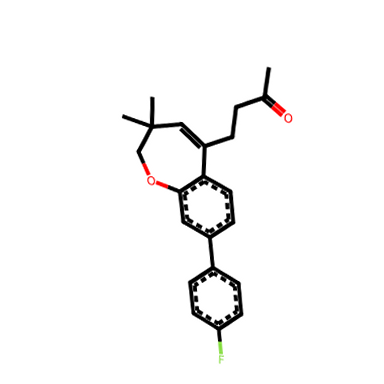 CC(=O)CCC1=CC(C)(C)COc2cc(-c3ccc(F)cc3)ccc21